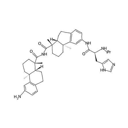 CC(C)N[C@@H](Cc1cnc[nH]1)C(=O)Nc1ccc2c(c1)[C@@]1(C)CCC[C@](C)(C(=O)NC(=O)[C@@]3(C)CCC[C@]4(C)c5cc(N)ccc5CC[C@@H]34)[C@@H]1CC2